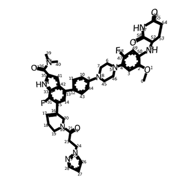 COc1cc(N2CCN(c3ccc(-c4cc(C5=CCCN(C(=O)CCn6cccn6)C5)c(F)c5[nH]c(C(=O)N(C)C)cc45)cc3)CC2)c(F)cc1NC1CCC(=O)NC1=O